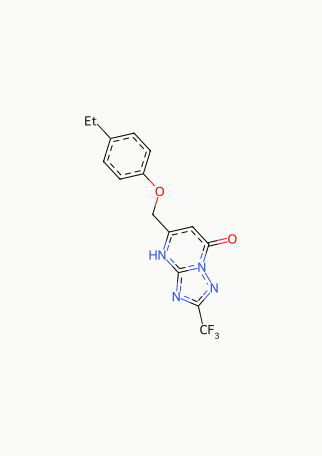 CCc1ccc(OCc2cc(=O)n3nc(C(F)(F)F)nc3[nH]2)cc1